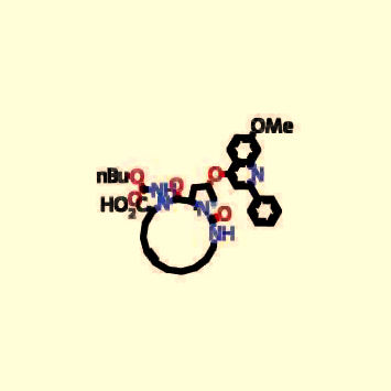 CCCCOC(=O)NN1C(=O)C2CC(Oc3cc(-c4ccccc4)nc4cc(OC)ccc34)C[N+]2C(=O)NCCCCCC=CCCC1C(=O)O